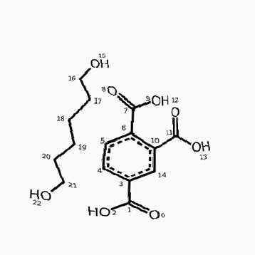 O=C(O)c1ccc(C(=O)O)c(C(=O)O)c1.OCCCCCCO